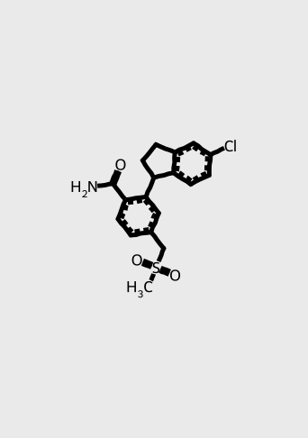 CS(=O)(=O)Cc1ccc(C(N)=O)c(C2CCc3cc(Cl)ccc32)c1